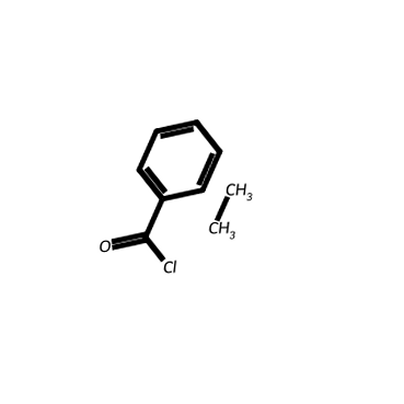 CC.O=C(Cl)c1ccccc1